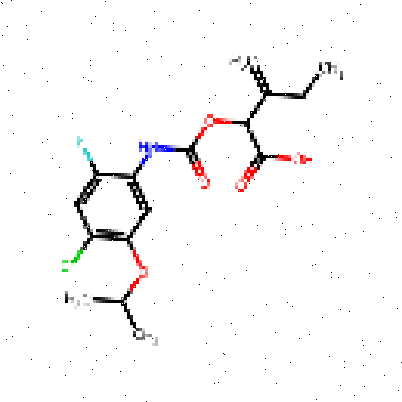 C=C(CC)C(OC(=O)Nc1cc(OC(C)C)c(Cl)cc1F)C(=O)O